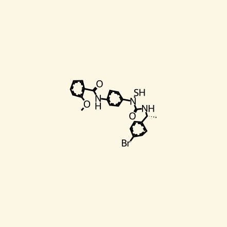 COc1ccccc1C(=O)Nc1ccc(N(S)C(=O)N[C@H](C)c2ccc(Br)cc2)cc1